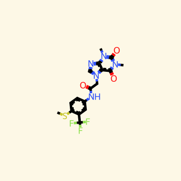 CSc1ccc(NC(=O)Cn2cnc3c2c(=O)n(C)c(=O)n3C)cc1C(F)(F)F